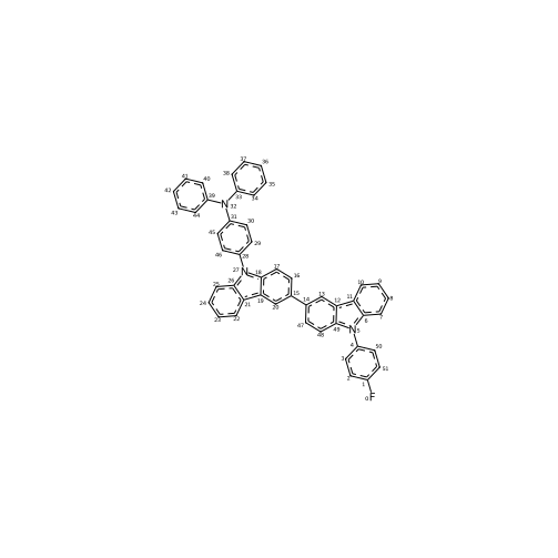 Fc1ccc(-n2c3ccccc3c3cc(-c4ccc5c(c4)c4ccccc4n5-c4ccc(N(c5ccccc5)c5ccccc5)cc4)ccc32)cc1